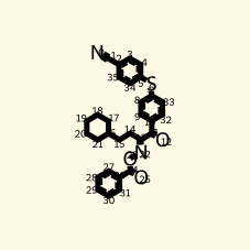 N#Cc1ccc(Sc2ccc(C(=O)/C(CCC3CCCCC3)=N/OC(=O)c3ccccc3)cc2)cc1